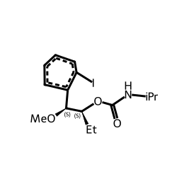 CC[C@H](OC(=O)NC(C)C)[C@@H](OC)c1ccccc1I